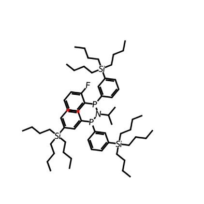 CCCC[Si](CCCC)(CCCC)c1cccc(P(c2cccc([Si](CCCC)(CCCC)CCCC)c2)N(C(C)C)P(c2cccc([Si](CCCC)(CCCC)CCCC)c2)c2ccccc2F)c1